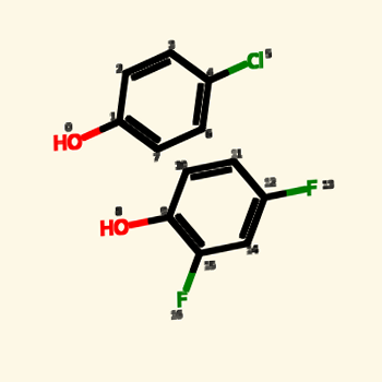 Oc1ccc(Cl)cc1.Oc1ccc(F)cc1F